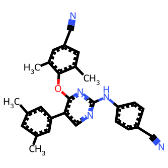 Cc1cc(C)cc(-c2cnc(Nc3ccc(C#N)cc3)nc2Oc2c(C)cc(C#N)cc2C)c1